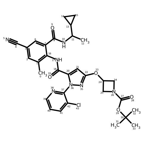 Cc1cc(C#N)cc(C(=O)NC(C)C2CC2)c1NC(=O)c1cc(OC2CN(C(=O)OC(C)(C)C)C2)nn1-c1ncccc1Cl